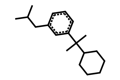 CC(C)Cc1cccc(C(C)(C)C2CCCCC2)c1